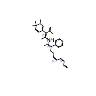 C=C/C=C\C=C/CC/C(=C(\C)N/C(C)=C(\C(=C)C)C1=CC(C)C(C)(C)C=C1)c1ccccc1